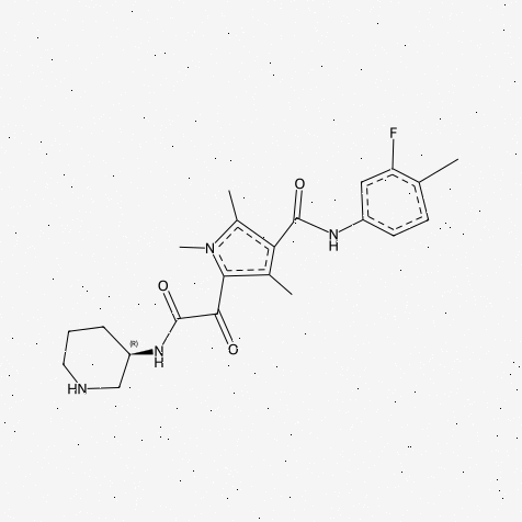 Cc1ccc(NC(=O)c2c(C)c(C(=O)C(=O)N[C@@H]3CCCNC3)n(C)c2C)cc1F